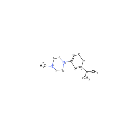 CC(C)C1=CC(N2CCN(C)CC2)=CCC1